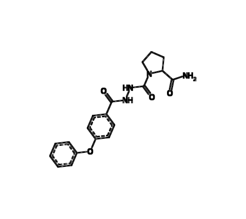 NC(=O)C1CCCN1C(=O)NNC(=O)c1ccc(Oc2ccccc2)cc1